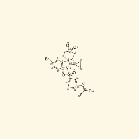 O=S1(=O)CCC2(CC1)c1cc(Br)ccc1N(S(=O)(=O)c1cccc(OC(F)F)c1)C2C1CC1